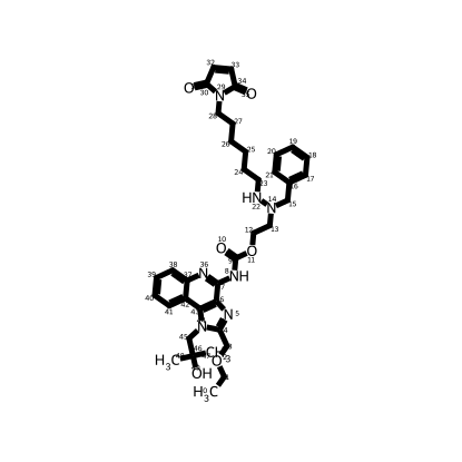 CCOCc1nc2c(NC(=O)OCCN(Cc3ccccc3)NCCCCCCN3C(=O)C=CC3=O)nc3ccccc3c2n1CC(C)(C)O